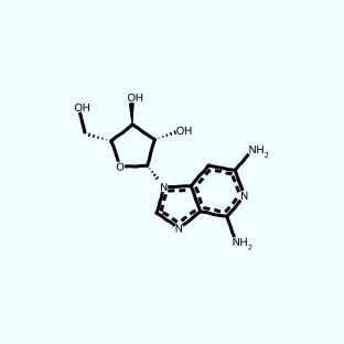 Nc1cc2c(ncn2[C@@H]2O[C@H](CO)[C@@H](O)[C@@H]2O)c(N)n1